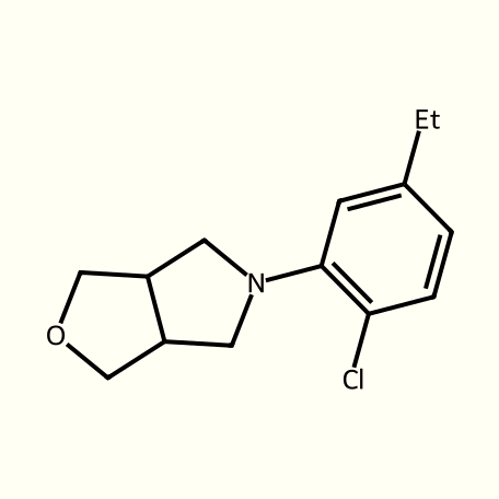 CCc1ccc(Cl)c(N2CC3COCC3C2)c1